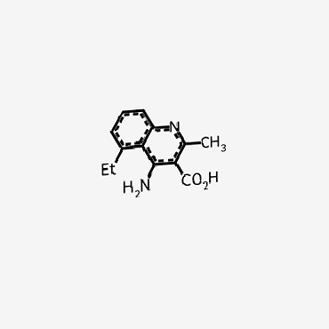 CCc1cccc2nc(C)c(C(=O)O)c(N)c12